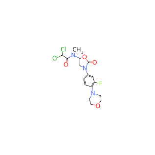 CN(C(=O)C(Cl)Cl)C1CN(c2ccc(N3CCOCC3)c(F)c2)C(=O)O1